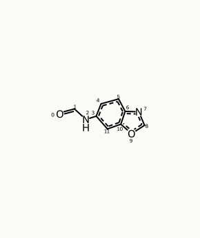 O=CNc1ccc2ncoc2c1